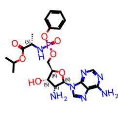 CC(C)OC(=O)[C@H](C)NP(=O)(OC[C@H]1O[C@@H](n2cnc3c(N)ncnc32)[C@H](N)[C@@H]1O)Oc1ccccc1